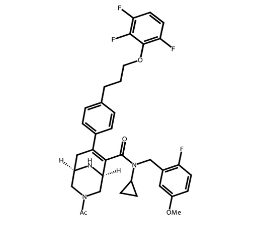 COc1ccc(F)c(CN(C(=O)C2=C(c3ccc(CCCOc4c(F)ccc(F)c4F)cc3)C[C@@H]3CN(C(C)=O)C[C@H]2N3)C2CC2)c1